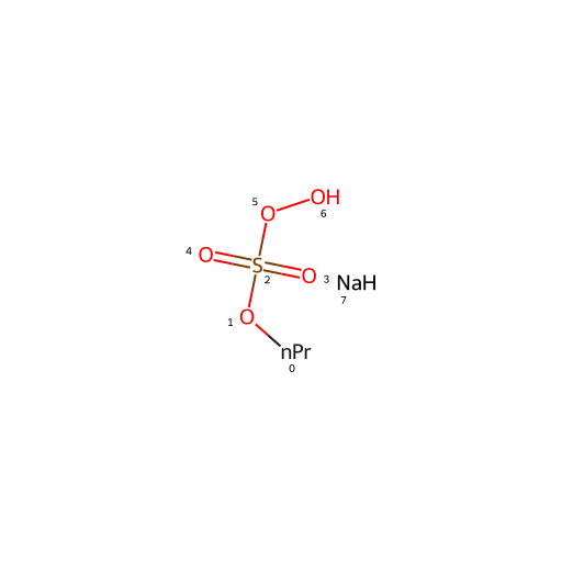 CCCOS(=O)(=O)OO.[NaH]